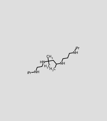 CC(C)NCCCNC(C)CC(C)(C)NCCNC(C)C